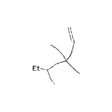 C=CC(C)(C)C(C)CC